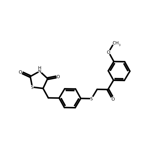 COc1cccc(C(=O)CSc2ccc(CC3SC(=O)NC3=O)cc2)c1